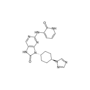 O=c1[nH]cccc1Nc1ncc2[nH]c(=O)n([C@H]3CC[C@H](n4cncn4)CC3)c2n1